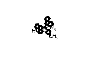 Cc1ccc([C@](C)(C(=O)O)C(c2cc3ccccc3c3ccccc23)c2cc3ccccc3c3ccccc23)cc1